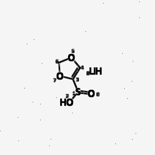 O=S(O)C1=COCO1.[LiH]